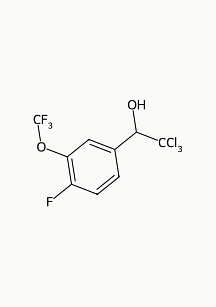 OC(c1ccc(F)c(OC(F)(F)F)c1)C(Cl)(Cl)Cl